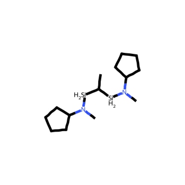 CC([SiH2]N(C)C1CCCC1)[SiH2]N(C)C1CCCC1